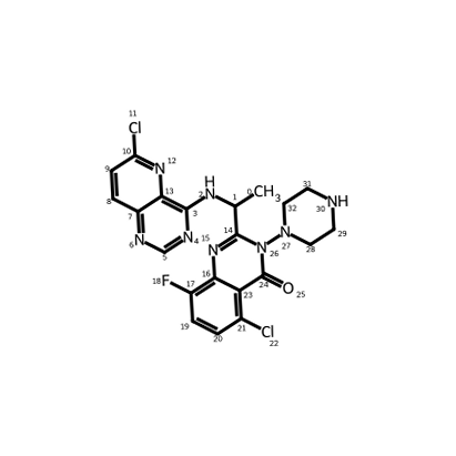 CC(Nc1ncnc2ccc(Cl)nc12)c1nc2c(F)ccc(Cl)c2c(=O)n1N1CCNCC1